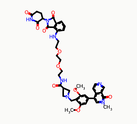 COc1cc(-c2cn(C)c(=O)c3cnccc23)cc(OC)c1CN1CC(C(=O)NCCOCCOCCNc2cccc3c2C(=O)N(C2CCC(=O)NC2=O)C3=O)C1